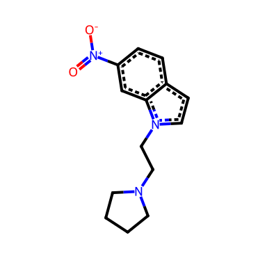 O=[N+]([O-])c1ccc2ccn(CCN3CCCC3)c2c1